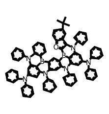 CC(C)(C)c1ccc2oc3c(c2c1)N(c1ccccc1)c1cc(N(c2ccccc2)c2ccccc2)cc2c1B3c1cc3c(cc1N2c1ccccc1)N(c1ccccc1)c1cc(N(c2ccccc2)c2ccccc2)cc2c1B3c1ccccc1N2c1ccccc1